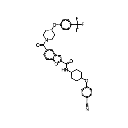 N#Cc1ccc(OC2CCC(NC(=O)c3cc4cc(C(=O)N5CCC(Oc6ccc(C(F)(F)F)cc6)CC5)ccc4o3)CC2)cc1